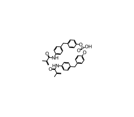 C=C(C)C(=O)Nc1ccc(Cc2ccc(OP(=O)(O)Oc3ccc(Cc4ccc(NC(=O)C(=C)C)cc4)cc3)cc2)cc1